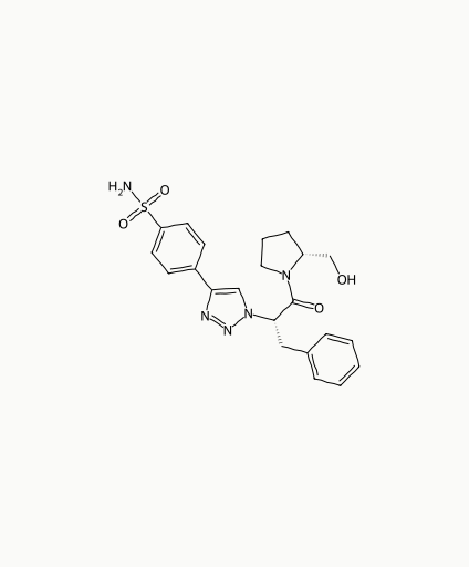 NS(=O)(=O)c1ccc(-c2cn([C@@H](Cc3ccccc3)C(=O)N3CCC[C@@H]3CO)nn2)cc1